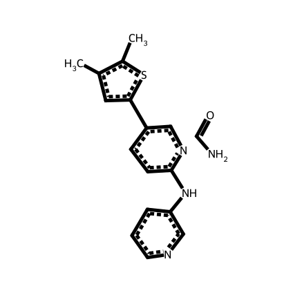 Cc1cc(-c2ccc(Nc3cccnc3)nc2)sc1C.NC=O